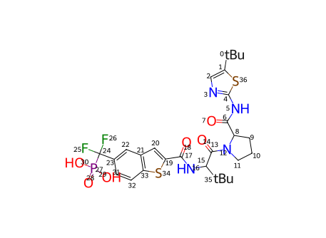 CC(C)(C)c1cnc(NC(=O)C2CCCN2C(=O)C(NC(=O)c2cc3cc(C(F)(F)P(=O)(O)O)ccc3s2)C(C)(C)C)s1